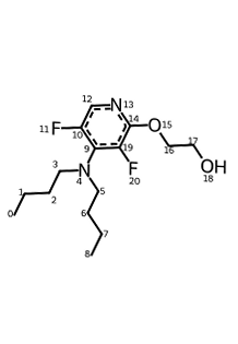 CCCCN(CCCC)c1c(F)cnc(OCCO)c1F